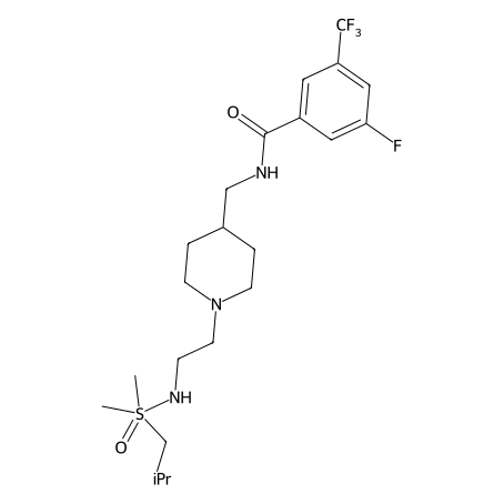 CC(C)CS(C)(C)(=O)NCCN1CCC(CNC(=O)c2cc(F)cc(C(F)(F)F)c2)CC1